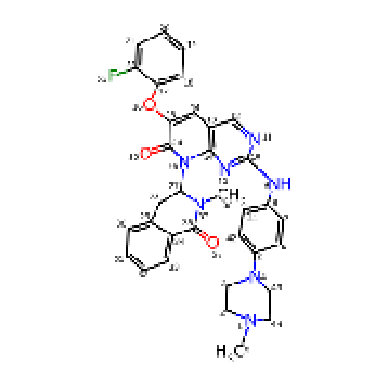 CN1CCN(c2ccc(Nc3ncc4cc(Oc5ccccc5F)c(=O)n(C5Cc6ccccc6C(=O)N5C)c4n3)cc2)CC1